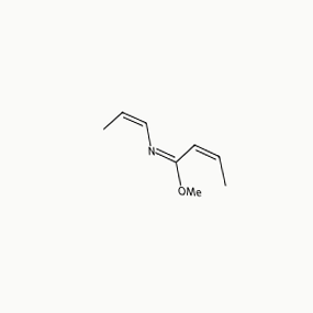 C\C=C/N=C(\C=C/C)OC